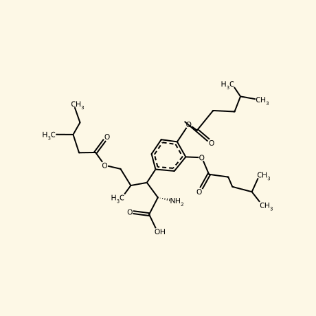 CCC(C)CC(=O)OCC(C)C(c1ccc(OC(=O)CCC(C)C)c(OC(=O)CCC(C)C)c1)[C@H](N)C(=O)O